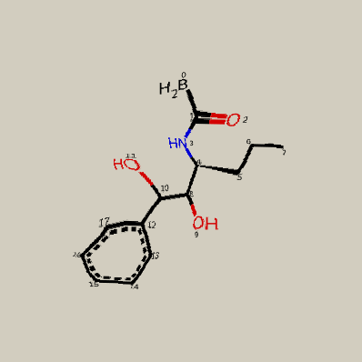 BC(=O)N[C@@H](CCC)C(O)C(O)c1ccccc1